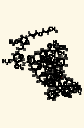 C=CCOCC=C[C@H]1CC(=C)[C@H](CC[C@H]2C[C@@H](C)C(=C)[C@@H](C[C@@H]3O[C@H](C[C@H]4CN(C(=O)OC(C)(C)C)C(C)(C)O4)[C@H](OC)[C@H]3CC(=O)C[C@H]3CC[C@@H]4O[C@@H]5[C@@H](O[C@H](CC(C=C)O[Si](CC)(CC)CC)[C@@H]5O[Si](c5ccccc5)(c5ccccc5)C(C)(C)C)[C@@H](O[Si](c5ccccc5)(c5ccccc5)C(C)(C)C)[C@H]4O3)O2)O1